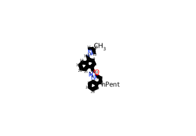 CCCCCC(Cc1nnc(-c2ccc(CN3CC(C)C3)c3ccccc23)o1)c1ccccc1